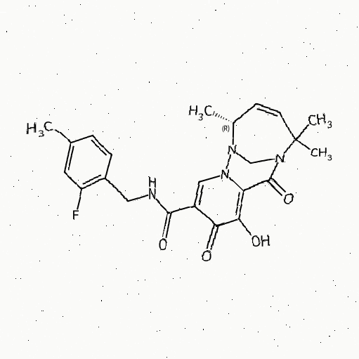 Cc1ccc(CNC(=O)c2cn3c(c(O)c2=O)C(=O)N2CN3[C@H](C)C=CC2(C)C)c(F)c1